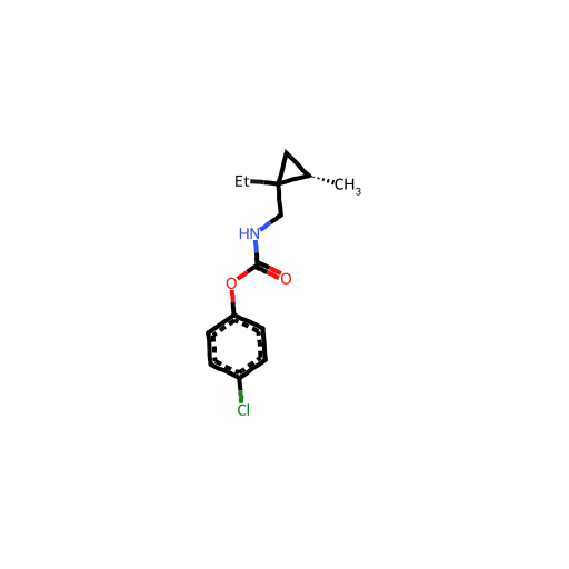 CCC1(CNC(=O)Oc2ccc(Cl)cc2)C[C@@H]1C